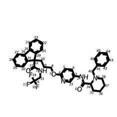 O=C(Nc1ccc(OCCCC2(C(=O)NCC(F)(F)F)c3ccccc3-c3ccccc32)nc1)C1CCCCN1Cc1ccccc1